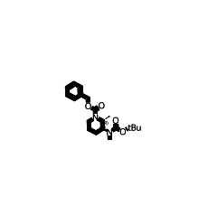 C[C@@H]1[C@@H](N(C)C(=O)OC(C)(C)C)CCCN1C(=O)OCc1ccccc1